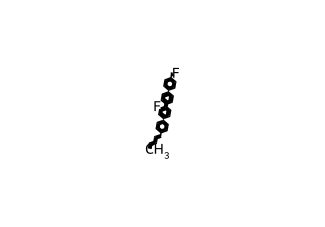 CCCCC[C@H]1CC[C@H](c2ccc(-c3ccc([C@H]4CC[C@H](CF)CC4)cc3)c(F)c2)CC1